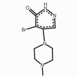 CN1CCN(c2cn[nH]c(=O)c2Br)CC1